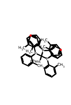 CCCCCC(P(c1ccccc1C)c1ccccc1C)(P(c1ccccc1C)c1ccccc1C)P(c1ccccc1C)c1ccccc1C